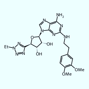 CCn1nnc([C@H]2O[C@@H](n3cnc4c(N)nc(NCCc5ccc(OC)c(OC)c5)nc43)[C@H](O)[C@@H]2O)n1